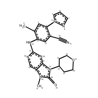 Cc1cc(-n2cccn2)c(C#N)cc1Nc1ncc2c(n1)n(C1CCOCC1)c(=O)n2C